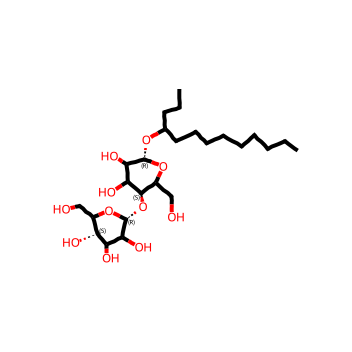 CCCCCCCCCC(CCC)O[C@@H]1OC(CO)[C@@H](O[C@H]2OC(CO)[C@@H](O)C(O)C2O)C(O)C1O